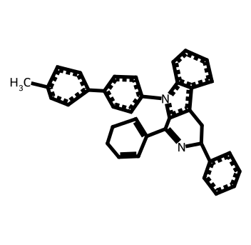 Cc1ccc(-c2ccc(-n3c4c(c5ccccc53)CC(c3ccccc3)N=C4C3=CCCC=C3)cc2)cc1